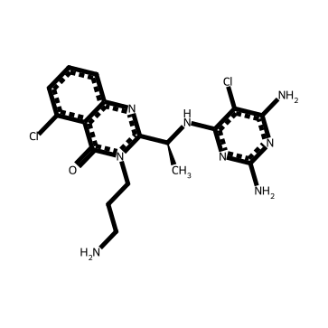 C[C@H](Nc1nc(N)nc(N)c1Cl)c1nc2cccc(Cl)c2c(=O)n1CCCN